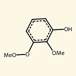 COOc1cccc(O)c1OC